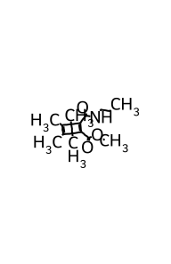 CCCNC(=O)C1=C(C(=O)OC)C2(C)C(C)=C(C)C12C